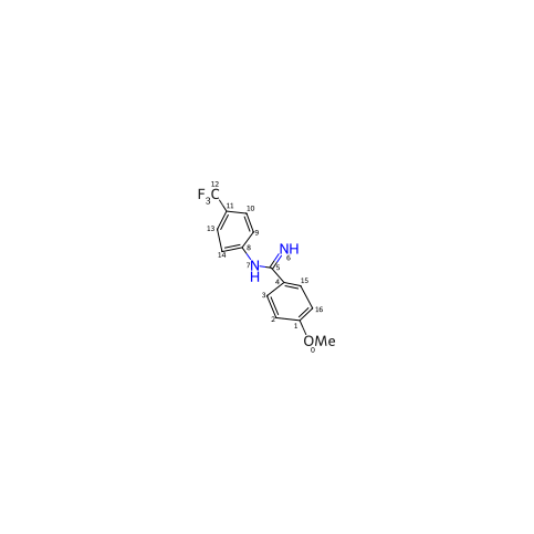 COc1ccc(C(=N)Nc2ccc(C(F)(F)F)cc2)cc1